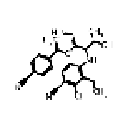 C=C(O/C(=N\N)C(Nc1ccc(C#N)c(Cl)c1CC)[C@@H](C)O)c1ccc(C#N)cc1